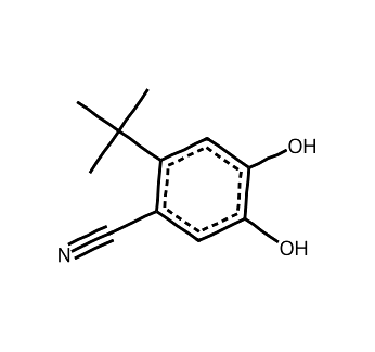 CC(C)(C)c1cc(O)c(O)cc1C#N